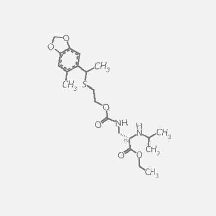 CCOC(=O)[C@H](CNC(=O)OCCSC(C)c1cc2c(cc1C)OCO2)NC(C)C